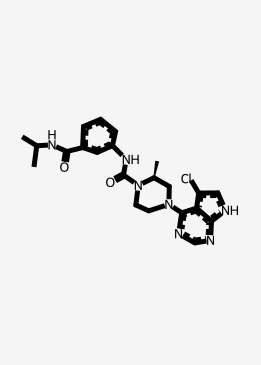 CC(C)NC(=O)c1cccc(NC(=O)N2CCN(c3ncnc4[nH]cc(Cl)c34)C[C@@H]2C)c1